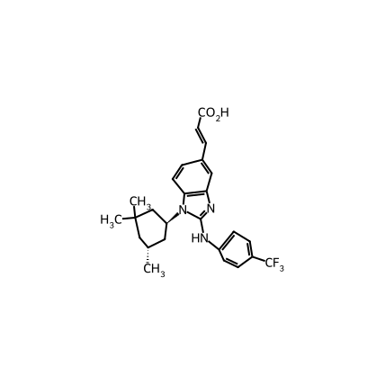 C[C@H]1C[C@H](n2c(Nc3ccc(C(F)(F)F)cc3)nc3cc(/C=C/C(=O)O)ccc32)CC(C)(C)C1